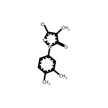 Cc1ccc(-n2sc(Cl)c(C)c2=O)cc1C